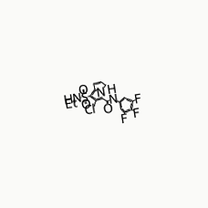 CCNS(=O)(=O)c1c(Cl)c(C(=O)Nc2cc(F)c(F)c(F)c2)n2c1C=CC2